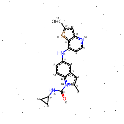 Cc1cc2cc(Nc3ccnc4cc(C=O)sc34)ccc2n1C(=O)NC1CC1